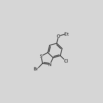 [CH2]COc1cc(Cl)c2nc(Br)sc2c1